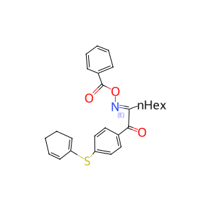 CCCCCC/C(=N\OC(=O)c1ccccc1)C(=O)c1ccc(SC2=CCCC=C2)cc1